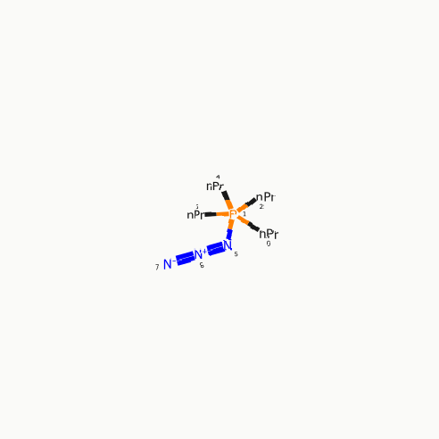 CCCP(CCC)(CCC)(CCC)N=[N+]=[N-]